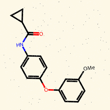 COc1cccc(Oc2ccc(NC(=O)C3CC3)cc2)c1